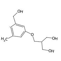 Cc1[c]c(CO)cc(OCC(CO)CO)c1